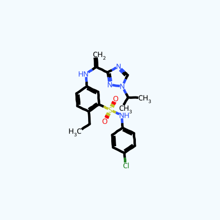 C=C(Nc1ccc(CC)c(S(=O)(=O)Nc2ccc(Cl)cc2)c1)c1ncn(C(C)C)n1